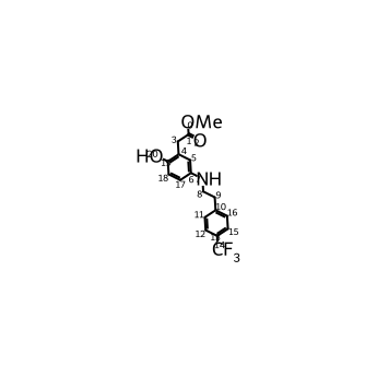 COC(=O)Cc1cc(NCCc2ccc(C(F)(F)F)cc2)ccc1O